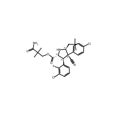 CC(C)(C)C[C@@H]1N[C@@H](C(=O)OCC(C)(C)C(N)=O)[C@H](c2cccc(Cl)c2F)[C@@]1(C#N)c1ccc(Cl)cc1